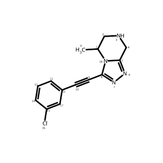 CC1CNCc2nnc(C#Cc3cccc(Cl)c3)n21